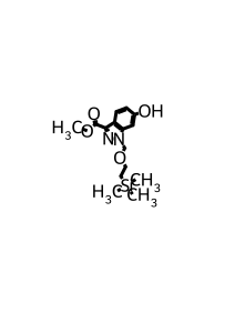 COC(=O)c1nn(COCC[Si](C)(C)C)c2cc(O)ccc12